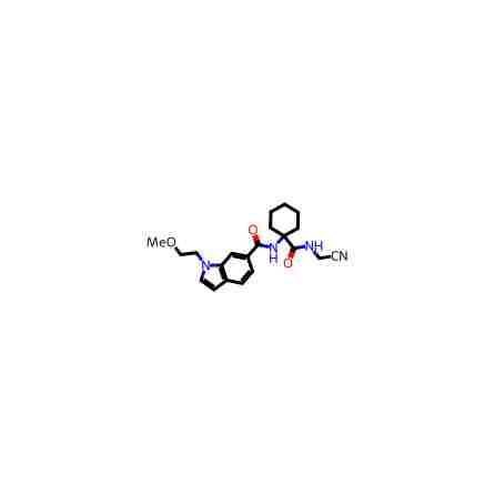 COCCn1ccc2ccc(C(=O)NC3(C(=O)NCC#N)CCCCC3)cc21